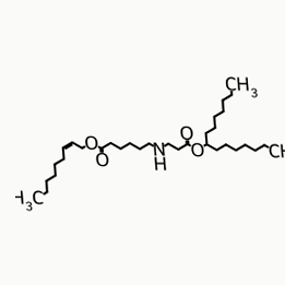 CCCCCC/C=C\COC(=O)CCCCCNCCC(=O)OC(CCCCCCC)CCCCCCC